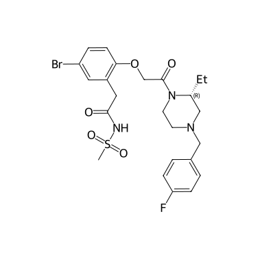 CC[C@@H]1CN(Cc2ccc(F)cc2)CCN1C(=O)COc1ccc(Br)cc1CC(=O)NS(C)(=O)=O